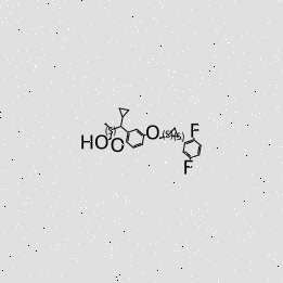 C[C@H](C(=O)O)C(c1cccc(OC[C@H]2C[C@@H]2c2cc(F)ccc2F)c1)C1CC1